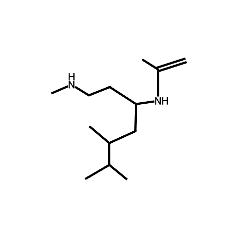 C=C(C)NC(CCNC)CC(C)C(C)C